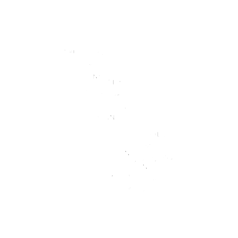 CC(C)(C)OC(=O)N1CC2(CCN(CCc3ccc4c(n3)N(C(=O)OC(C)(C)C)CCC4)CC2(F)F)C1